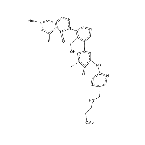 COCCNCc1ccc(Nc2cc(-c3cccc(-n4ncc5cc(C(C)(C)C)cc(F)c5c4=O)c3CO)cn(C)c2=O)nc1